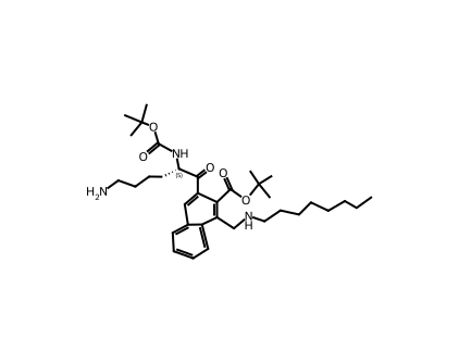 CCCCCCCCNCc1c(C(=O)OC(C)(C)C)c(C(=O)[C@H](CCCCN)NC(=O)OC(C)(C)C)cc2ccccc12